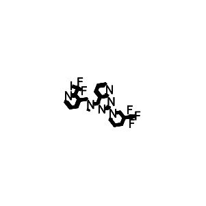 CN(Cc1cccnc1C(F)(F)I)c1nc(N2CCCC(C(F)(F)F)C2)nc2ncccc12